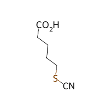 N#CSCCCCC(=O)O